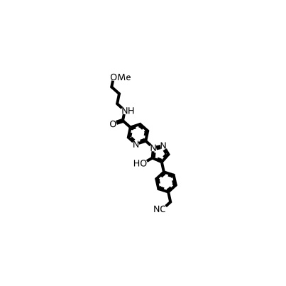 COCCCNC(=O)c1ccc(-n2ncc(-c3ccc(CC#N)cc3)c2O)nc1